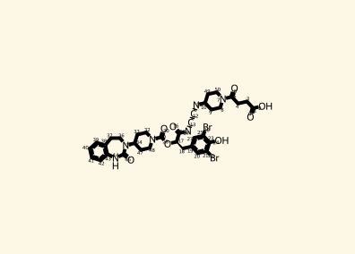 O=C(O)CCC(=O)N1CCC(N=C=C=NC(=O)[C@@H](Cc2cc(Br)c(O)c(Br)c2)OC(=O)N2CCC(N3CCc4ccccc4NC3=O)CC2)CC1